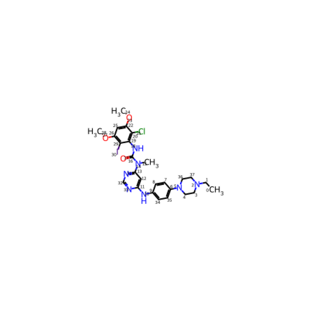 CCN1CCN(c2ccc(Nc3cc(N(C)C(=O)Nc4c(Cl)c(OC)cc(OC)c4I)ncn3)cc2)CC1